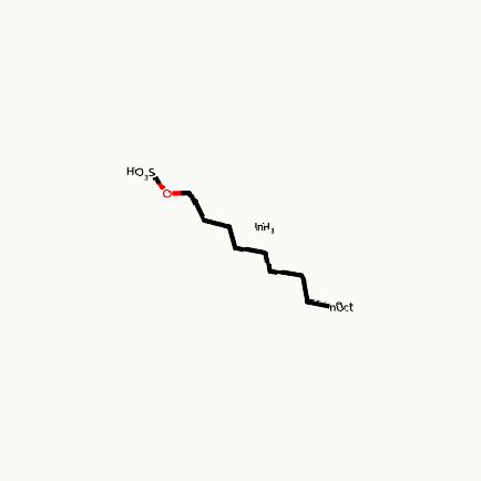 CCCCCCCCCCCCCCCCOS(=O)(=O)O.[InH3]